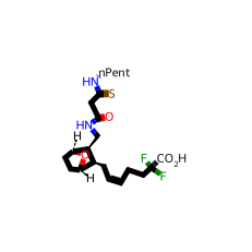 CCCCCNC(=S)CC(=O)NC[C@H]1[C@@H](C/C=C\CCC(F)(F)C(=O)O)[C@H]2CC[C@@H]1O2